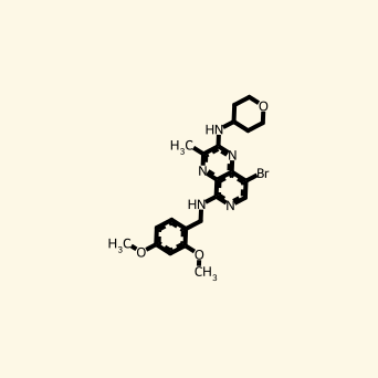 COc1ccc(CNc2ncc(Br)c3nc(NC4CCOCC4)c(C)nc23)c(OC)c1